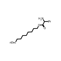 CCCCCCCCCCCCCCCCCCOC(=O)C(N)C(C)C